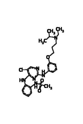 CCN(CCCOc1cccc(Nc2ncc(Cl)c(Nc3ccccc3NS(C)(=O)=O)n2)c1)C(C)C